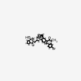 CNC(=O)c1c2cc(C3CC3)c(N(CCCNC(=O)[C@H]3CCC[C@H]3C(=O)O)S(C)(=O)=O)cc2nn1-c1ccc(Br)cc1